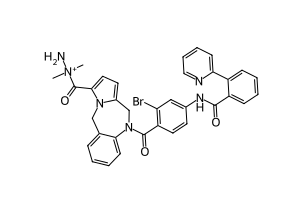 C[N+](C)(N)C(=O)c1ccc2n1Cc1ccccc1N(C(=O)c1ccc(NC(=O)c3ccccc3-c3ccccn3)cc1Br)C2